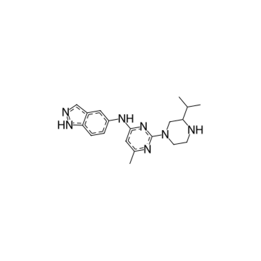 Cc1cc(Nc2ccc3[nH]ncc3c2)nc(N2CCNC(C(C)C)C2)n1